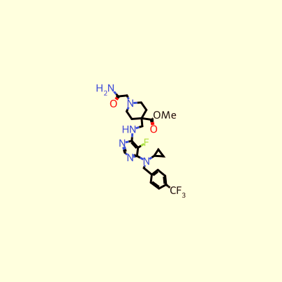 COC(=O)C1(CNc2ncnc(N(Cc3ccc(C(F)(F)F)cc3)C3CC3)c2F)CCN(CC(N)=O)CC1